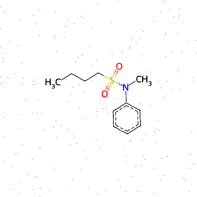 CCCCS(=O)(=O)N(C)c1ccccc1